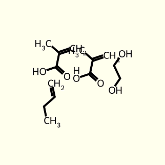 C=C(C)C(=O)O.C=C(C)C(=O)O.C=CCC.OCCO